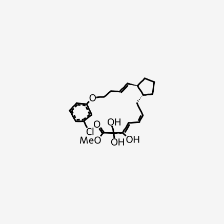 COC(=O)C(O)(O)/C(O)=C/C=C\C[C@H]1CCC[C@@H]1/C=C/CCOc1cccc(Cl)c1